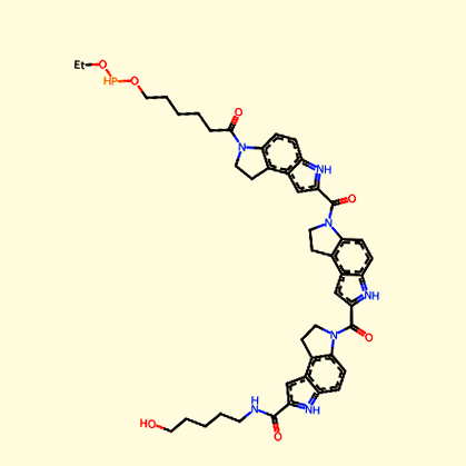 CCOPOCCCCCC(=O)N1CCc2c1ccc1[nH]c(C(=O)N3CCc4c3ccc3[nH]c(C(=O)N5CCc6c5ccc5[nH]c(C(=O)NCCCCCO)cc65)cc43)cc21